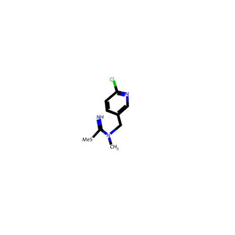 CSC(=N)N(C)Cc1ccc(Cl)nc1